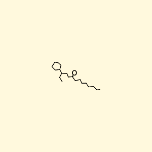 CCCCCCCCC(=O)CCC(CC)C1CCCCC1